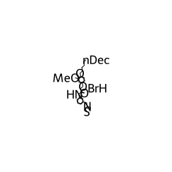 Br.CCCCCCCCCCCCCCOc1ccc(OCC(=O)Nc2cccc(CN3C=CSC3)c2)cc1OC